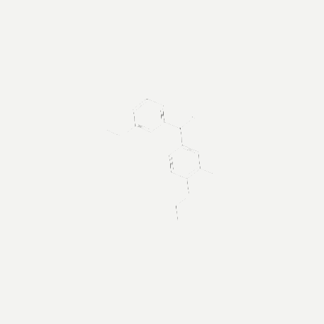 COc1ccnc(C(N)c2ccc(OCF)c(F)c2)c1